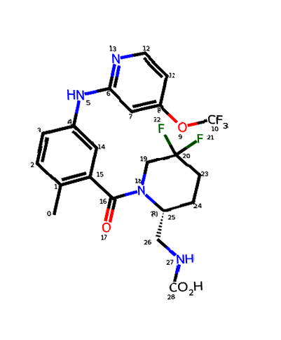 Cc1ccc(Nc2cc(OC(F)(F)F)ccn2)cc1C(=O)N1CC(F)(F)CC[C@@H]1CNC(=O)O